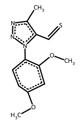 COc1ccc(-n2nnc(C)c2C=S)c(OC)c1